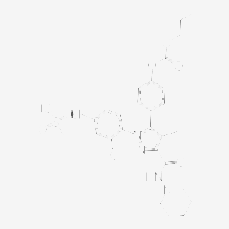 CCCOC(=O)Oc1ccc(-c2c(C)c(C(=O)NN3CCCCC3)nn2-c2ccc(Cl)cc2Cl)cc1.CS(=O)(=O)O